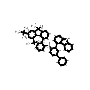 CC(C)(C)c1cc(C(C)(C)C)c2c(c1)C(C)(C)c1cccc(-c3ccccc3Nc3ccc(-c4ccccc4)cc3-c3cccc4sc5ccccc5c34)c1-2